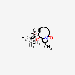 CO[C@H]1/C=C/CCCCC(=O)N2CC(C)=C[C@@H]2[C@@H]1O[Si](C)(C)C(C)(C)C